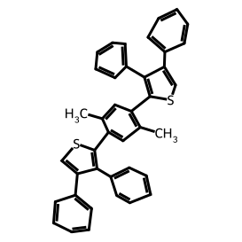 Cc1cc(-c2scc(-c3ccccc3)c2-c2ccccc2)c(C)cc1-c1scc(-c2ccccc2)c1-c1ccccc1